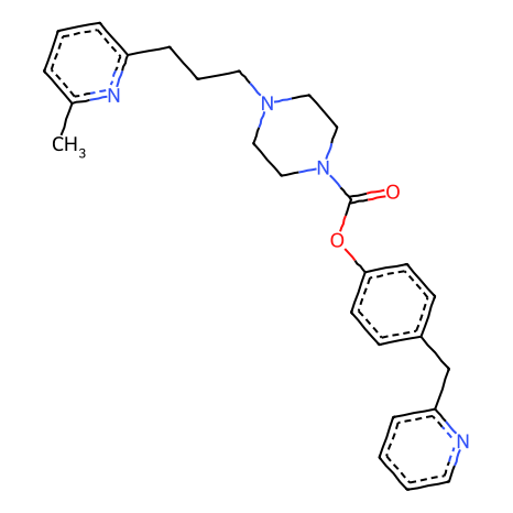 Cc1cccc(CCCN2CCN(C(=O)Oc3ccc(Cc4ccccn4)cc3)CC2)n1